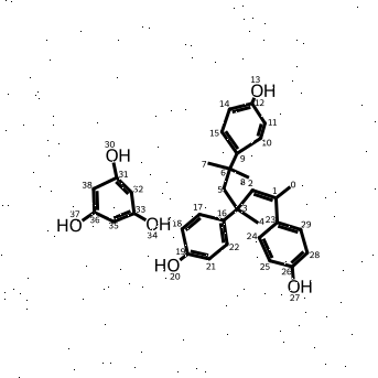 CC(=CC(C)(CC(C)(C)c1ccc(O)cc1)c1ccc(O)cc1)c1ccc(O)cc1.Oc1cc(O)cc(O)c1